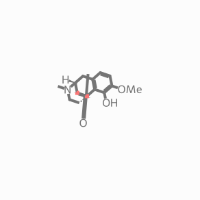 COc1ccc2c(c1O)[C@]13CCN(C)[C@H](C2)C1CCC(=O)C3